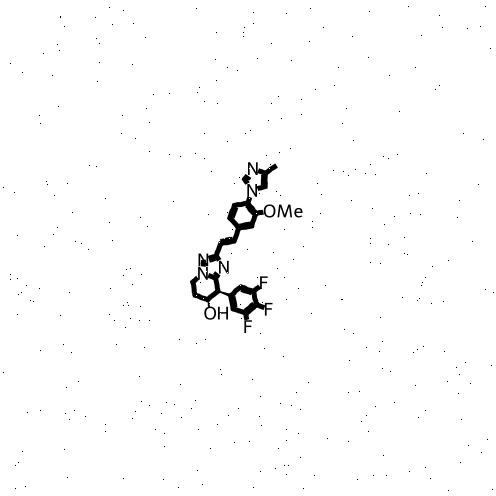 COc1cc(C=Cc2nc3n(n2)CC[C@@H](O)[C@@H]3c2cc(F)c(F)c(F)c2)ccc1-n1cnc(C)c1